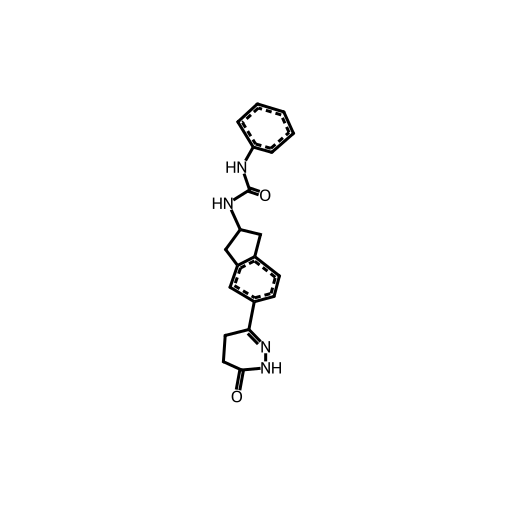 O=C1CCC(c2ccc3c(c2)CC(NC(=O)Nc2ccccc2)C3)=NN1